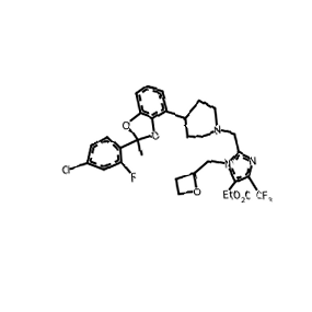 CCOC(=O)c1c(C(F)(F)F)nc(CN2CCC(c3cccc4c3OC(C)(c3ccc(Cl)cc3F)O4)CC2)n1CC1CCO1